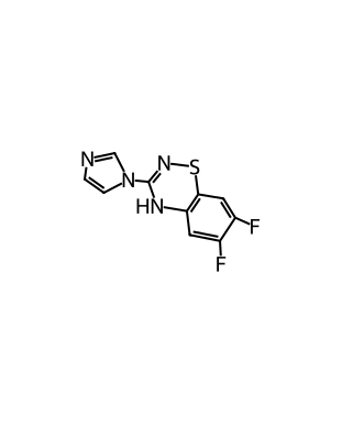 Fc1cc2c(cc1F)SN=C(n1ccnc1)N2